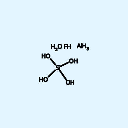 F.O.O[Si](O)(O)O.[AlH3]